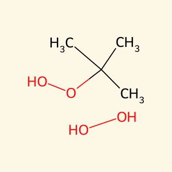 CC(C)(C)OO.OO